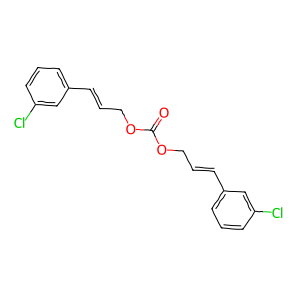 O=C(OCC=Cc1cccc(Cl)c1)OCC=Cc1cccc(Cl)c1